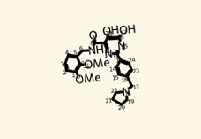 COc1cccc(CNC(=O)c2nc(-c3ccc(CN4CCCC4)cc3)nc(O)c2O)c1OC